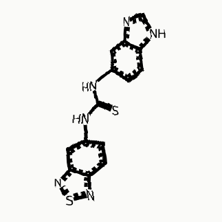 S=C(Nc1ccc2nsnc2c1)Nc1ccc2[nH]cnc2c1